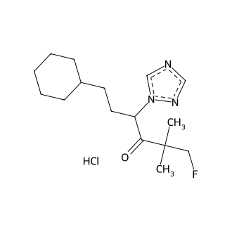 CC(C)(CF)C(=O)C(CCC1CCCCC1)n1cncn1.Cl